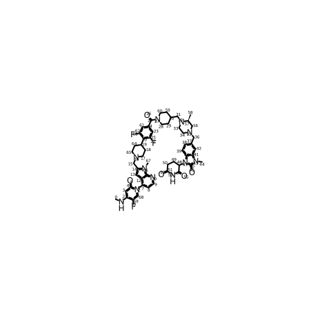 CNc1cc(=O)n(-c2ccnc3c2cc(CN2CCC(c4c(F)cc(C(=O)N5CCC(CN6CCN(Cc7ccc8c(c7)n(C)c(=O)n8C7CCC(=O)NC7=O)C[C@@H]6C)CC5)cc4F)CC2)n3C)cc1F